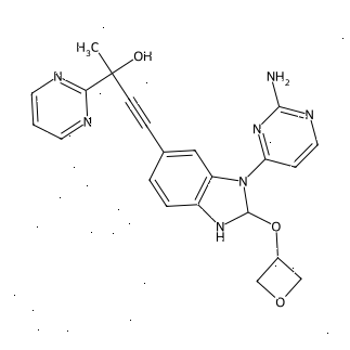 CC(O)(C#Cc1ccc2c(c1)N(c1ccnc(N)n1)C(OC1COC1)N2)c1ncccn1